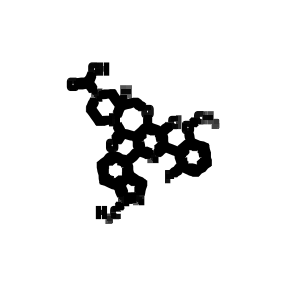 COc1cccc(F)c1-c1nc(-c2cccc3c2cnn3C)c2c(c1Cl)OC[C@H]1CN(C(=O)O)CCN1C2=O